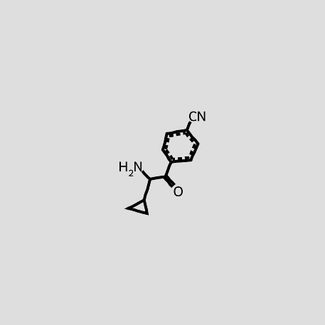 N#Cc1ccc(C(=O)C(N)C2CC2)cc1